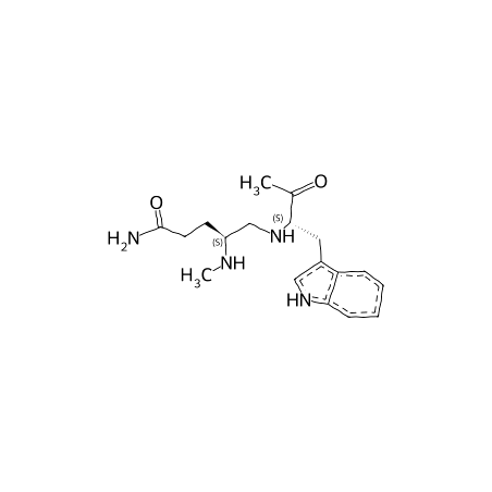 CN[C@@H](CCC(N)=O)CN[C@@H](Cc1c[nH]c2ccccc12)C(C)=O